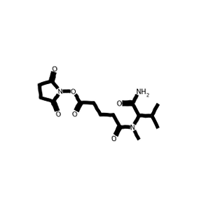 CC(C)C(C(N)=O)N(C)C(=O)CCCC(=O)ON1C(=O)CCC1=O